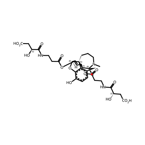 CN1CCC[C@]23c4c5ccc(O)c4O[C@H]2C(OC(=O)CCNC(=O)[C@@H](O)CC(=O)O)=CC[C@@]3(OC(=O)CCNC(=O)[C@@H](O)CC(=O)O)[C@H]1C5